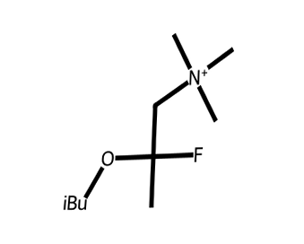 CCC(C)OC(C)(F)C[N+](C)(C)C